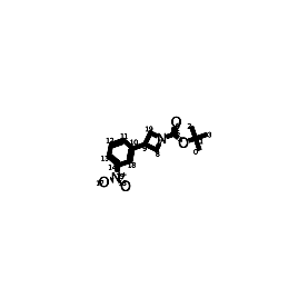 CC(C)(C)OC(=O)N1CC(c2cccc([N+](=O)[O-])c2)C1